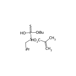 C=C(C)C(=O)O.CC(C)COP(O)(=S)SCC(C)C